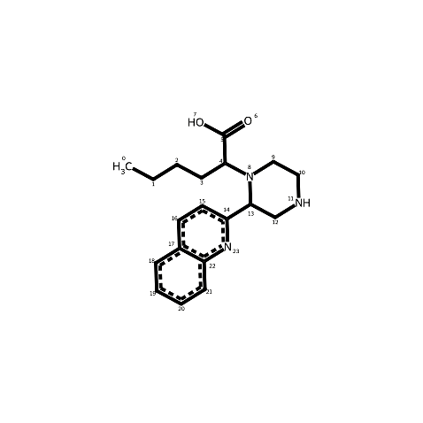 CCCCC(C(=O)O)N1CCNCC1c1ccc2ccccc2n1